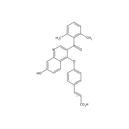 Cc1cccc(C)c1C(=O)c1cnc2cc(O)ccc2c1Oc1ccc(/C=C/C(=O)O)cc1